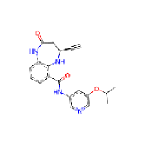 C#C[C@@H]1CC(=O)Nc2cccc(C(=O)Nc3cncc(OC(C)C)c3)c2N1